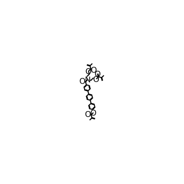 C=C(C)C(=O)OCCN(CCOC(=O)C(=C)C)C(=O)c1ccc(-c2ccc(-c3ccc(OC(=O)C(=C)C)cc3)cc2)cc1